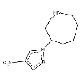 O=[N+]([O-])c1cnn(C2CCCCNCC2)c1